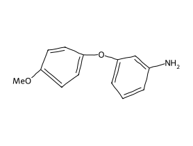 COc1ccc(Oc2cccc(N)c2)cc1